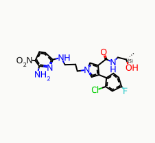 C[C@H](O)CNC(=O)c1cn(CCCNc2ccc([N+](=O)[O-])c(N)n2)cc1-c1ccc(F)cc1Cl